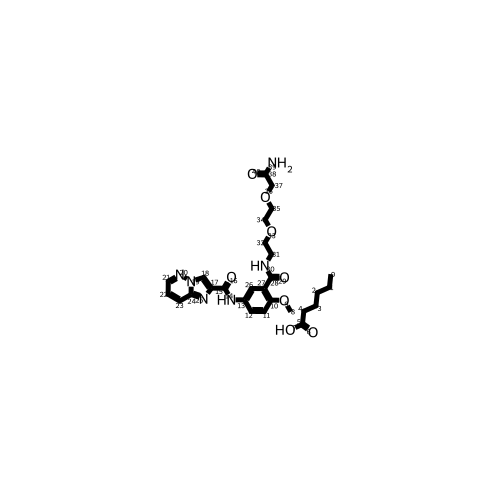 CCCCCC(=O)O.COc1ccc(NC(=O)c2cn3ncccc3n2)cc1C(=O)NCCOCCOCC(N)=O